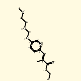 CCOC(=O)/C(C)=C/c1ccc(OCOCCOC)cn1